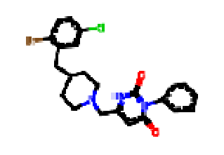 O=c1cc(CN2CCC(Cc3cc(Cl)ccc3Br)CC2)[nH]c(=O)n1-c1ccccc1